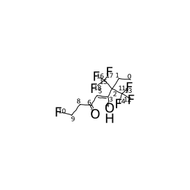 CCC(/C(O)=C/C(=O)CCF)(C(F)(F)F)C(F)(F)F